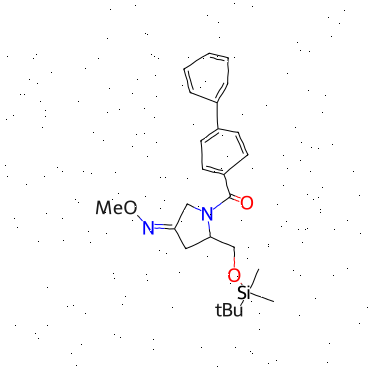 CON=C1CC(CO[Si](C)(C)C(C)(C)C)N(C(=O)c2ccc(-c3ccccc3)cc2)C1